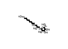 CCCCCCCCCCCCCCCCC=CNCC(O)CO[C@H]1O[C@H](CO)[C@H](O)[C@H](O)[C@H]1O